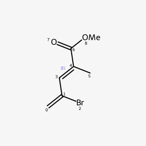 C=C(Br)/C=C(\C)C(=O)OC